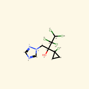 OC(Cn1cncn1)(C1(Cl)CC1)C(Cl)(Cl)C(Cl)Cl